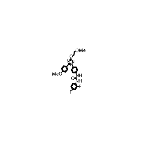 COCCOc1nc(-c2ccc(OC)cc2)n(-c2ccc(NC(=O)Nc3ccc(F)cc3F)cc2)n1